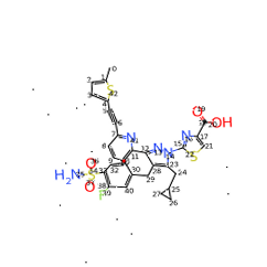 Cc1ccc(C#Cc2cccc(-c3nn(-c4nc(C(=O)O)cs4)c(CC4CC4)c3Cc3ccc(S(N)(=O)=O)c(F)c3)n2)s1